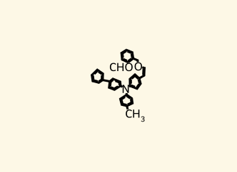 Cc1ccc(N(c2ccc(/C=C\OCc3ccccc3C=O)cc2)c2ccc(-c3ccccc3)cc2)cc1